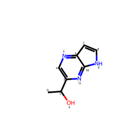 CC(O)c1cnc2cc[nH]c2n1